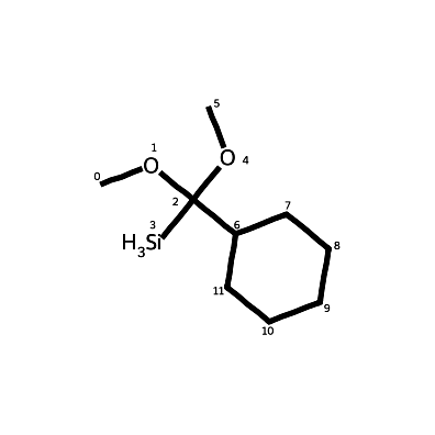 COC([SiH3])(OC)C1CCCCC1